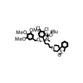 COc1cc(COC[C@](CCCN2CCC3(CC2)c2ccccc2C[S+]3[O-])(c2ccc(Cl)c(Cl)c2)N(C)C(=O)OC(C)(C)C)cc(OC)c1OC